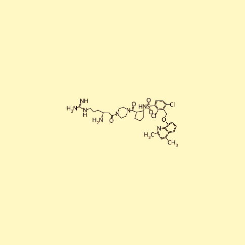 Cc1cc(C)c2cccc(OCc3c(Cl)ccc(S(=O)(=O)NC4CCCC4C(=O)N4CCN(C(=O)C[C@@H](N)CCCNC(=N)N)CC4)c3Cl)c2n1